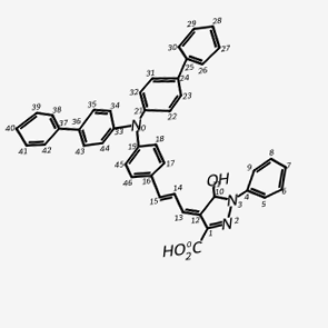 O=C(O)C1=NN(c2ccccc2)C(O)/C1=C\C=C\c1ccc(N(c2ccc(-c3ccccc3)cc2)c2ccc(-c3ccccc3)cc2)cc1